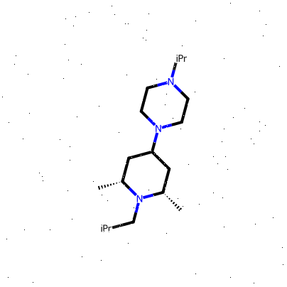 CC(C)CN1[C@H](C)CC(N2CCN(C(C)C)CC2)C[C@@H]1C